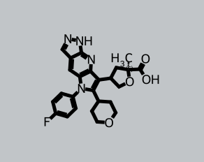 C[C@@]1(C(=O)O)CC(c2c(C3CCOCC3)n(-c3ccc(F)cc3)c3cc4cn[nH]c4nc23)CO1